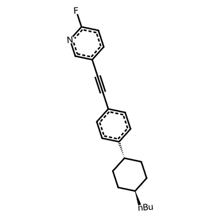 CCCC[C@H]1CC[C@H](c2ccc(C#Cc3ccc(F)nc3)cc2)CC1